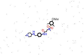 COc1cc(C)c(S(=O)(=O)N(C)CCC(=O)Nc2ccc(CNC3CCN(C)CC3)cc2)c(C)c1